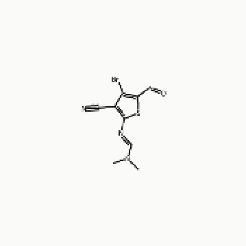 CN(C)C=Nc1sc(C=O)c(Br)c1C#N